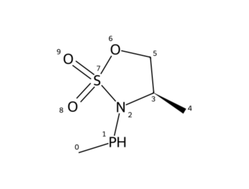 CPN1[C@H](C)COS1(=O)=O